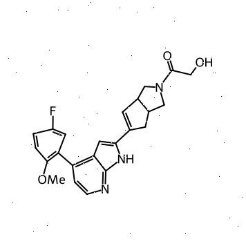 COc1ccc(F)cc1-c1ccnc2[nH]c(C3=CC4CN(C(=O)CO)CC4C3)cc12